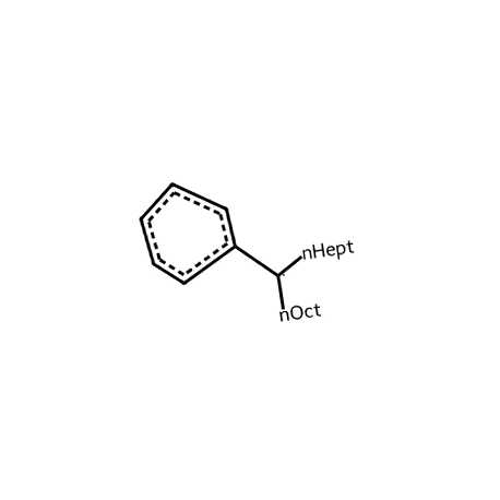 CCCCCCCC[C](CCCCCCC)c1ccccc1